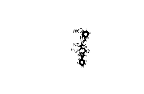 COc1cccc(CNc2sc(C(=O)c3cc(-c4ccccc4)no3)c(N)c2C#N)c1